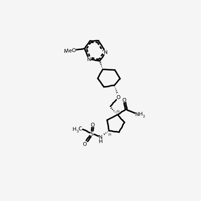 COc1ccnc([C@H]2CC[C@@H](OC[C@]3(C(N)=O)CC[C@H](NS(C)(=O)=O)C3)CC2)n1